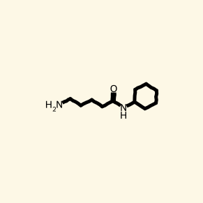 NCCCCC(=O)NC1CCCCC1